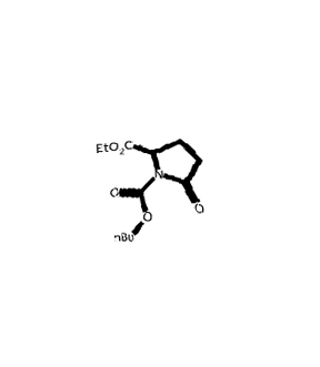 CCCCOC(=O)N1C(=O)CCC1C(=O)OCC